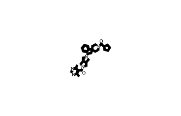 Cc1ncnc(C)c1C(=O)N1CC2=CN(CCC3(c4ccccc4)CCN(C(=O)C4CCCC4)CC3)CC2C1